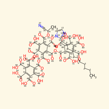 CCCCCCCCCCCc1nccn1OC(=O)c1c(C(=O)OC(C)C#N)c(C(=O)O)c(C(=O)O)c(C(=O)OC(=O)c2c(C(=O)O)c(C(=O)O)c(C(=O)O)c(C(=O)O)c2C(=O)O)c1C(=O)OC(=O)c1c(C(=O)O)c(C(=O)O)c(C(=O)O)c(C(=O)O)c1C(=O)O